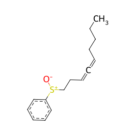 CCCCC=C=CCC[S+]([O-])c1ccccc1